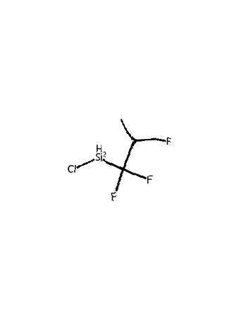 CC(F)C(F)(F)[SiH2]Cl